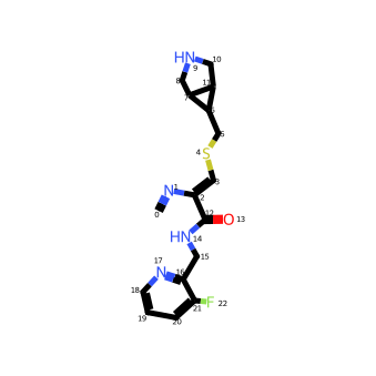 C=N/C(=C\SCC1C2CNCC21)C(=O)NCc1ncccc1F